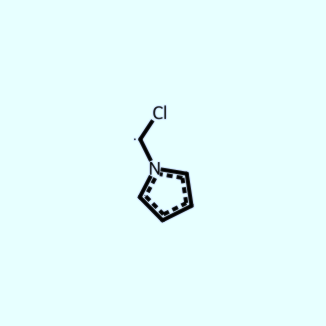 Cl[CH]n1cccc1